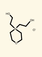 OCC[N+]1(CCO)CCOCC1.[Cl-]